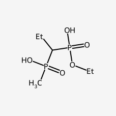 CCOP(=O)(O)C(CC)P(C)(=O)O